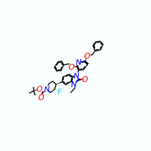 CCn1c(=O)n(-c2ccc(OCc3ccccc3)nc2OCc2ccccc2)c2ccc([C@@H]3CCN(C(=O)OC(C)(C)C)C[C@H]3F)cc21